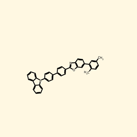 Cc1ccc(C)c(-c2ccc3nc(-c4ccc(-c5ccc(-n6c7ccccc7c7ccccc76)cc5)cc4)oc3c2)c1